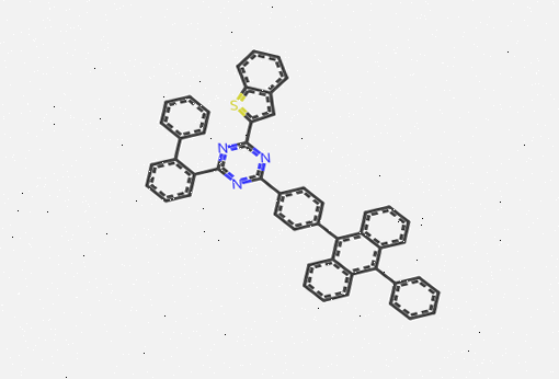 c1ccc(-c2ccccc2-c2nc(-c3ccc(-c4c5ccccc5c(-c5ccccc5)c5ccccc45)cc3)nc(-c3cc4ccccc4s3)n2)cc1